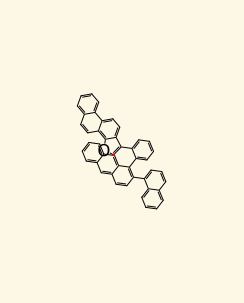 c1ccc(-c2coc3c2ccc2c4ccccc4ccc23)c(-c2c(-c3cccc4ccccc34)ccc3cc4ccccc4cc23)c1